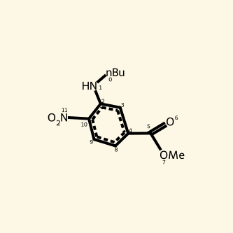 CCCCNc1cc(C(=O)OC)ccc1[N+](=O)[O-]